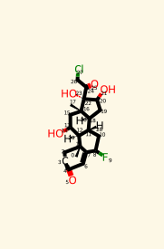 C[C@]12CCC(=O)C=C1C(F)C[C@@H]1[C@@H]2C(O)C[C@@]2(C)[C@H]1CC(O)[C@]2(O)C(=O)CCl